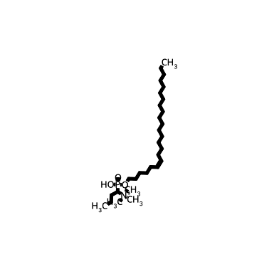 CCCCCCCCCCCCCCCC/C=C\CCCCCOP(=O)(O)C(CCC)[N+](C)(C)C